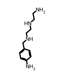 NCCNCCNCc1ccc(N)cc1